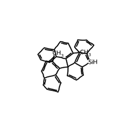 Cc1ccc2ccccc2c1C1(c2c(C)ccc3ccccc23)C=CC=C2[SiH]=c3ccccc3=C21